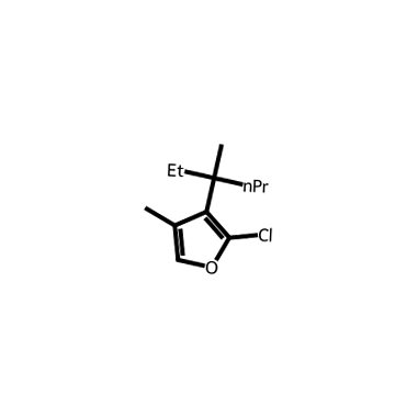 CCCC(C)(CC)c1c(C)coc1Cl